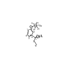 CCC(O)c1cccc(O[Si](C)(C)C(C)(C)C)c1